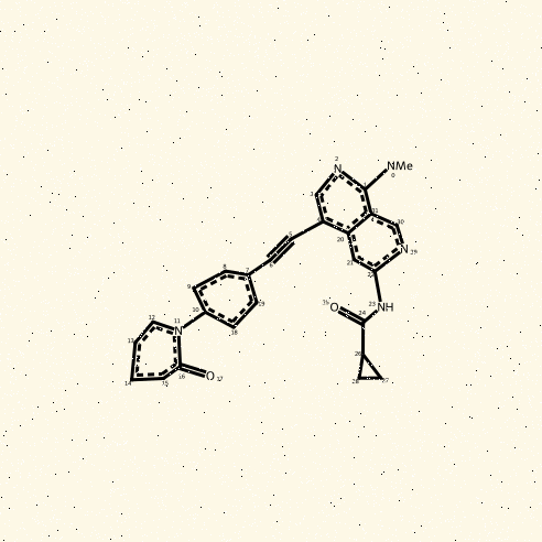 CNc1ncc(C#Cc2ccc(-n3ccccc3=O)cc2)c2cc(NC(=O)C3CC3)ncc12